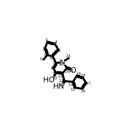 Cc1ccccc1-c1cc(O)c(C(=N)c2ccccc2)c(=O)n1C